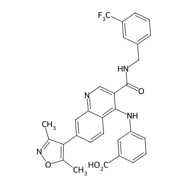 Cc1noc(C)c1-c1ccc2c(Nc3cccc(C(=O)O)c3)c(C(=O)NCc3cccc(C(F)(F)F)c3)cnc2c1